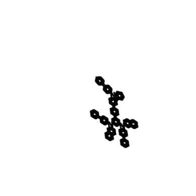 c1ccc(-c2ccc(N(c3cc(-c4ccc(-c5ccc6c(c5)c5ccccc5n6-c5ccc(-c6ccccc6)cc5)cc4)cc(N(c4ccc(-c5ccccc5)cc4)c4ccc5ccccc5c4)c3)c3ccc4ccccc4c3)cc2)cc1